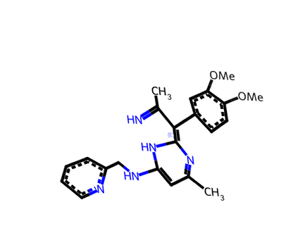 COc1ccc(/C(C(C)=N)=C2\N=C(C)C=C(NCc3ccccn3)N2)cc1OC